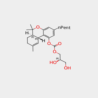 CCCCCc1cc(OC(=O)OC[C@H](O)CO)c2c(c1)OC(C)(C)[C@@H]1CCC(C)=C[C@@H]21